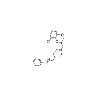 Clc1cccc2c1OC(CN1CCC(C/N=C/c3ccccc3)CC1)CO2